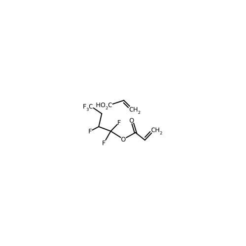 C=CC(=O)O.C=CC(=O)OC(F)(F)C(F)CC(F)(F)F